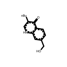 CCCCc1c[nH]c2cc(CO)ccc2c1=O